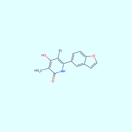 CCc1c(-c2ccc3occc3c2)[nH]c(=O)c(C(=O)O)c1O